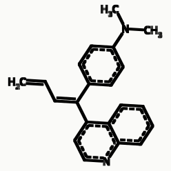 C=CC=C(c1ccc(N(C)C)cc1)c1ccnc2ccccc12